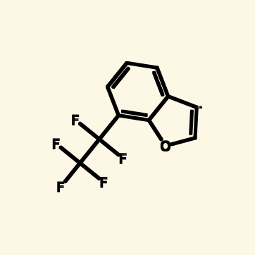 FC(F)(F)C(F)(F)c1cccc2[c]coc12